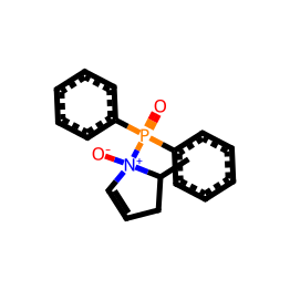 CC1CC=C[N+]1([O-])P(=O)(c1ccccc1)c1ccccc1